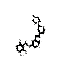 CN1CCN(c2cc(-c3cc4cc(NC(=O)c5c(F)ccc(N)c5F)cnc4[nH]3)ccn2)CC1